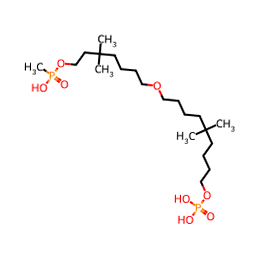 CC(C)(CCCCOCCCCC(C)(C)CCOP(C)(=O)O)CCCCOP(=O)(O)O